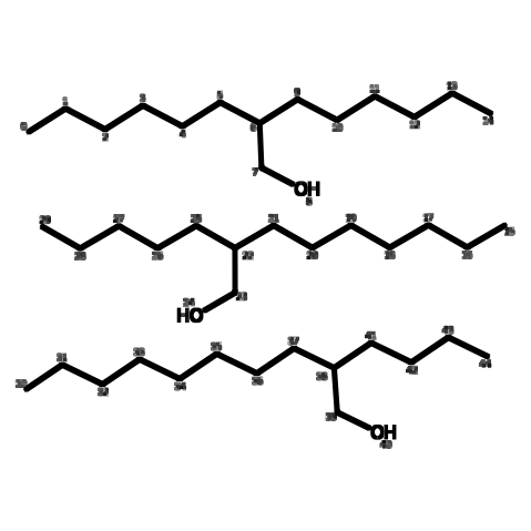 CCCCCCC(CO)CCCCCC.CCCCCCCC(CO)CCCCC.CCCCCCCCC(CO)CCCC